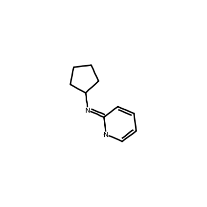 C1=C[N]C(=NC2CCCC2)C=C1